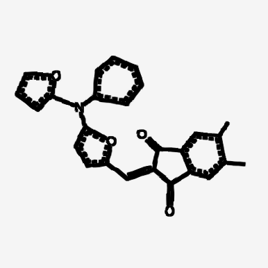 Cc1cc2c(cc1C)C(=O)C(=Cc1ccc(N(c3ccccc3)c3ccco3)o1)C2=O